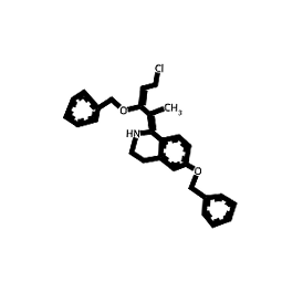 CC(=C1/NCCc2cc(OCc3ccccc3)ccc21)/C(=C\CCl)OCc1ccccc1